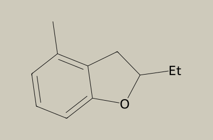 CCC1Cc2c(C)cccc2O1